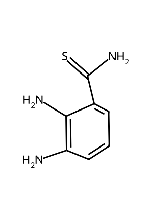 NC(=S)c1cccc(N)c1N